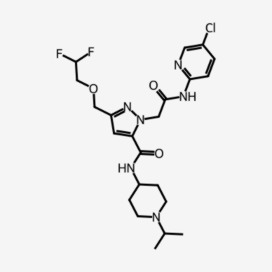 CC(C)N1CCC(NC(=O)c2cc(COCC(F)F)nn2CC(=O)Nc2ccc(Cl)cn2)CC1